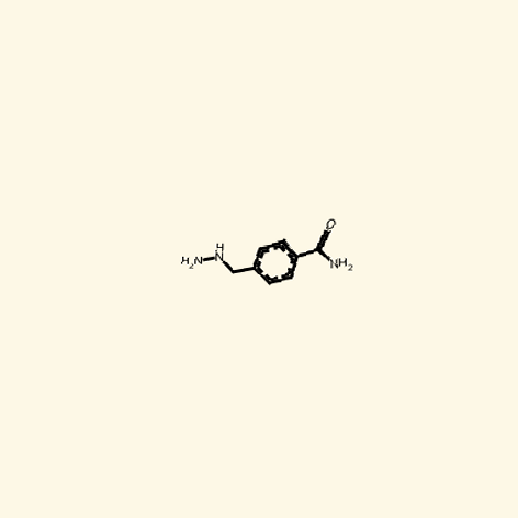 NNCc1ccc(C(N)=O)cc1